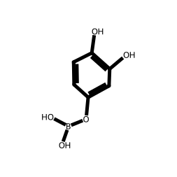 OB(O)Oc1ccc(O)c(O)c1